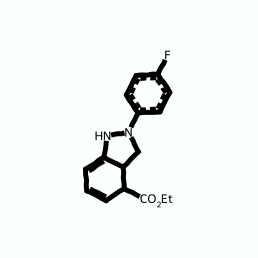 CCOC(=O)C1C=CC=C2NN(c3ccc(F)cc3)CC21